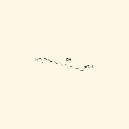 CCCCCCCC/C=C\CCCCCCCCCCCC(=O)O.[KH]